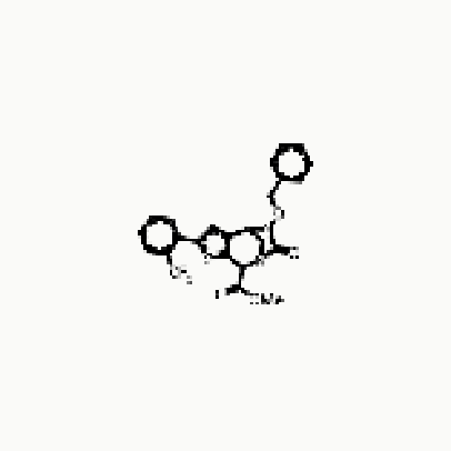 COC(=O)C1c2sc(-c3ccccc3C(F)(F)F)cc2C2CN1C(=O)N2OCc1ccccc1